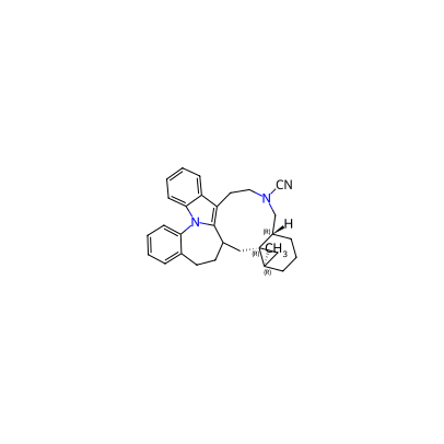 C[C@]12CCC[C@H]3CN(C#N)CCc4c5n(c6ccccc46)-c4ccccc4CCC5C[C@@]31C2